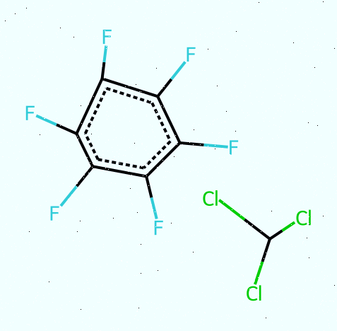 ClC(Cl)Cl.Fc1c(F)c(F)c(F)c(F)c1F